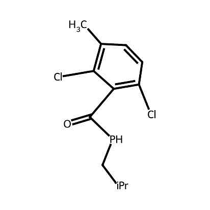 Cc1ccc(Cl)c(C(=O)PCC(C)C)c1Cl